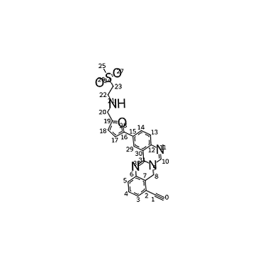 C#Cc1cccc2c1CN1C=Nc3ccc(-c4ccc(CNCCS(C)(=O)=O)o4)cc3C1=N2